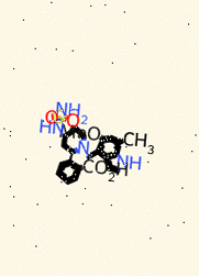 COc1cc(C)c2[nH]ccc2c1CN1CC[C@H](NS(N)(=O)=O)C[C@@H]1c1ccccc1C(=O)O